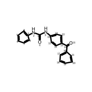 O=C(Nc1ccccc1)Nc1ccc(C(=O)c2ccccc2)cc1